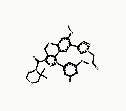 COc1cc(F)cc(-n2nc(C(=O)N3CCOCC3(C)C)c3c2-c2cc(-c4cnn(CCO)c4)c(OC)cc2OC3)c1